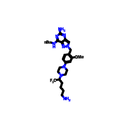 CCCCNc1nc(N)nc2cn(Cc3ccc(N4CCN(C(CCCCN)C(F)(F)F)CC4)cc3OC)nc12